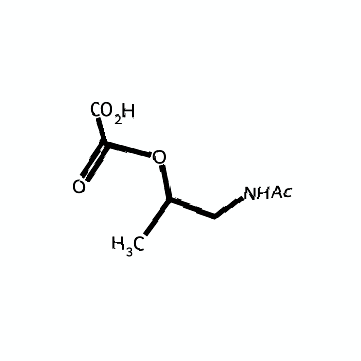 CC(=O)NCC(C)OC(=O)C(=O)O